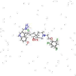 COc1ccc2ncc(CN)c([C@H](F)CCC3(CO)CCN(CCOc4c(F)cc(F)cc4F)CC3)c2c1